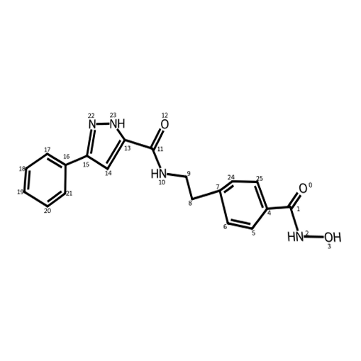 O=C(NO)c1ccc(CCNC(=O)c2cc(-c3ccccc3)n[nH]2)cc1